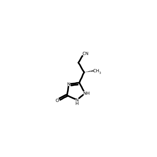 C[C@@H](CC#N)c1nc(=O)[nH][nH]1